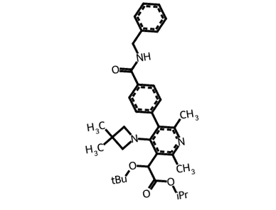 Cc1nc(C)c(C(OC(C)(C)C)C(=O)OC(C)C)c(N2CC(C)(C)C2)c1-c1ccc(C(=O)NCc2ccccc2)cc1